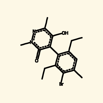 CCc1cc(C)c(Br)c(CC)c1-c1c(O)c(C)nn(C)c1=O